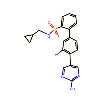 Nc1ncc(-c2ccc(-c3ccccc3S(=O)(=O)NCC3CC3)cc2F)cn1